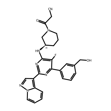 N#CCC(=O)N1CCC[C@@H](Nc2nc(-c3cnn4ccccc34)nc(-c3cccc(CO)c3)c2F)C1